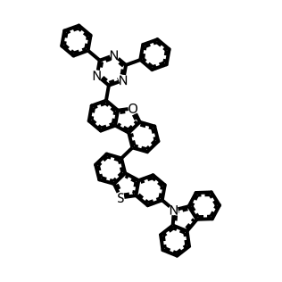 c1ccc(-c2nc(-c3ccccc3)nc(-c3cccc4c3oc3cccc(-c5cccc6sc7cc(-n8c9ccccc9c9ccccc98)ccc7c56)c34)n2)cc1